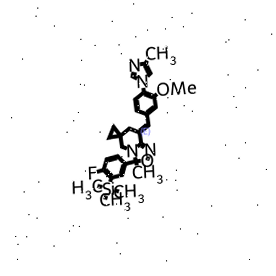 COc1cc(/C=C2\CC3(CC3)CN3C2=NOC3(C)c2ccc(F)c([Si](C)(C)C)c2)ccc1-n1cnc(C)c1